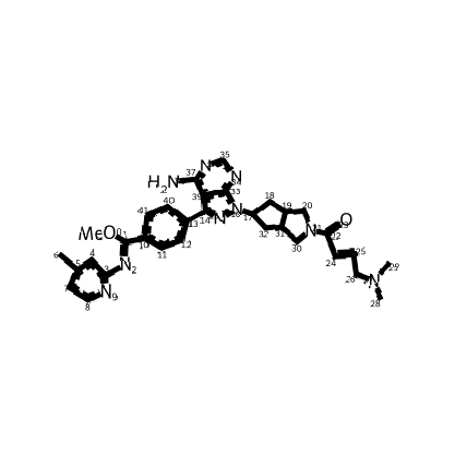 COC(=Nc1cc(C)ccn1)c1ccc(-c2nn(C3CC4CN(C(=O)C=CCN(C)C)CC4C3)c3ncnc(N)c23)cc1